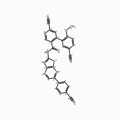 COc1ccc(C#N)cc1-c1cc(C#N)ncc1C(=O)Nc1nc2ncc(-c3ccc(C#N)cc3)nc2s1